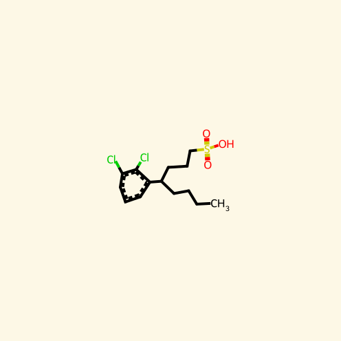 CCCCC(CCCS(=O)(=O)O)c1cccc(Cl)c1Cl